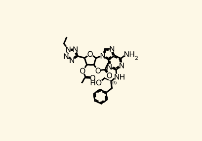 CCn1nnc(C2OC(n3cnc4c(N)nc(N[C@H](CO)Cc5ccccc5)nc43)C(OC(C)=O)C2OC(C)=O)n1